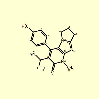 CCCC(C(=O)O)c1c(-c2ccc(C)cc2)c2c(nc3n2CCC3)n(C)c1=O